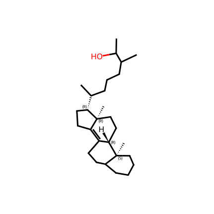 CC(O)C(C)CCCC(C)[C@H]1CCC2=C3CCC4CCCC[C@]4(C)[C@H]3CC[C@@]21C